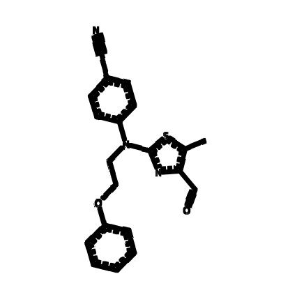 Cc1sc(N(CCOc2ccccc2)c2ccc(C#N)cc2)nc1C=O